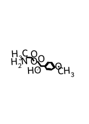 COc1ccc([C@H](O)C(=O)OC(=O)[C@@H](C)N)cc1